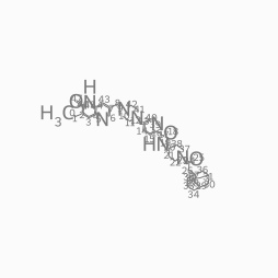 CCc1cc2ncc(CN3CCN(c4ccc(C(=O)NC5CCN(C(=O)CC67CC8CC(CC(C8)C6)C7)CC5)nc4)CC3)cc2[nH]c1=O